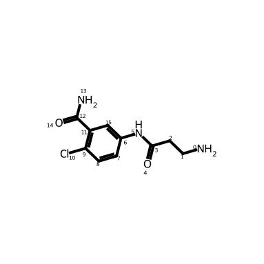 NCCC(=O)Nc1ccc(Cl)c(C(N)=O)c1